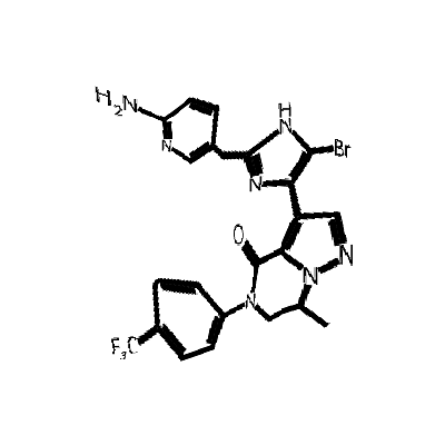 CC1CN(c2ccc(C(F)(F)F)cc2)C(=O)c2c(-c3nc(-c4ccc(N)nc4)[nH]c3Br)cnn21